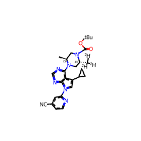 [2H]C([2H])([2H])[C@@H]1CN(c2ncnc3c2c(C2CC2)cn3-c2cc(C#N)ccn2)[C@@H](C)CN1C(=O)OC(C)(C)C